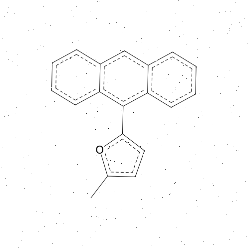 Cc1ccc(-c2c3ccccc3cc3ccccc23)o1